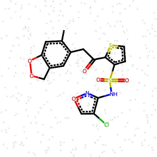 Cc1cc2c(cc1CC(=O)c1sccc1S(=O)(=O)Nc1nocc1Cl)COO2